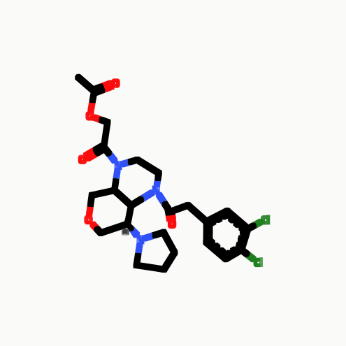 CC(=O)OCC(=O)N1CCN(C(=O)Cc2ccc(Cl)c(Cl)c2)C2C1COC[C@@H]2N1CCCC1